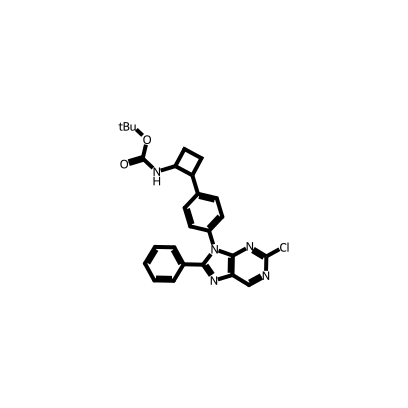 CC(C)(C)OC(=O)NC1CCC1c1ccc(-n2c(-c3ccccc3)nc3cnc(Cl)nc32)cc1